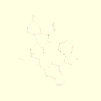 C=CC(=O)Nc1cc(Nc2nc(-c3c[nH]c4ccccc34)c3sccc3n2)c(OC)cc1N1CCN(C)CC1